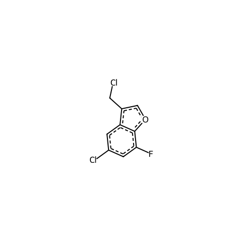 Fc1cc(Cl)cc2c(CCl)coc12